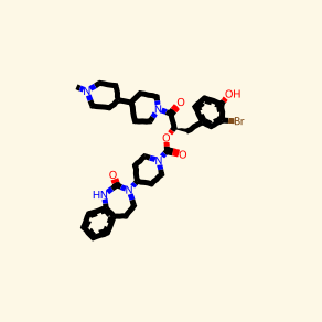 CN1CCC(C2CCN(C(=O)[C@@H](Cc3ccc(O)c(Br)c3)OC(=O)N3CCC(N4CCc5ccccc5NC4=O)CC3)CC2)CC1